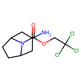 NC1CC2CCC(C1)N2C(=O)OCC(Cl)(Cl)Cl